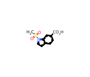 CS(=O)(=O)n1ccc2ccc(C(=O)O)cc21